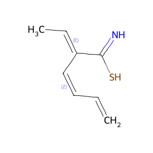 C=C/C=C\C(=C/C)C(=N)S